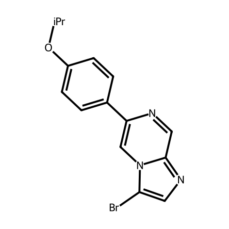 CC(C)Oc1ccc(-c2cn3c(Br)cnc3cn2)cc1